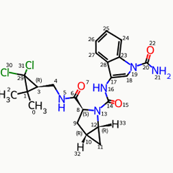 CC1(C)[C@H](CNC(=O)[C@@H]2C[C@H]3C[C@H]3N2C(=O)Nc2cn(C(N)=O)c3ccccc23)C1(Cl)Cl